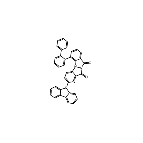 O=c1c2cccc(-c3ccccc3-c3ccccc3)c2n2c3ccc(-n4c5ccccc5c5ccccc54)nc3c(=O)n12